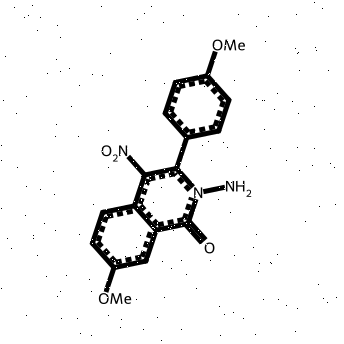 COc1ccc(-c2c([N+](=O)[O-])c3ccc(OC)cc3c(=O)n2N)cc1